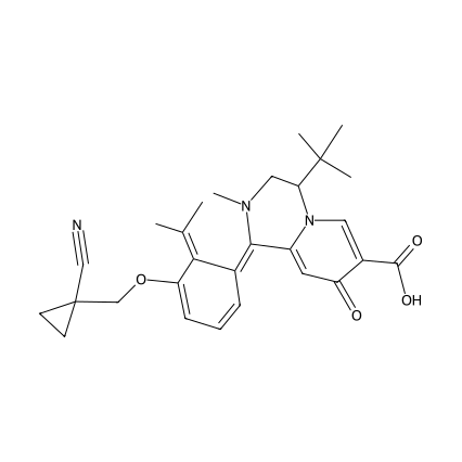 CC(C)=c1c(OCC2(C#N)CC2)ccc/c1=C1\c2cc(=O)c(C(=O)O)cn2C(C(C)(C)C)CN1C